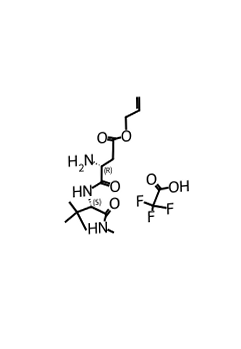 C=CCOC(=O)C[C@@H](N)C(=O)N[C@H](C(=O)NC)C(C)(C)C.O=C(O)C(F)(F)F